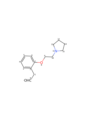 O=[C]Cc1ccccc1OCCN1CCCC1